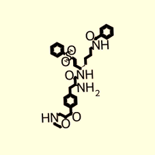 N[C@@H](Cc1ccc(C(=O)C2CNCCO2)cc1)C(=O)N[C@H](C=CS(=O)(=O)c1ccccc1)CCCCNC(=O)c1ccccc1